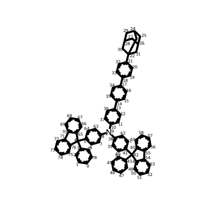 c1ccc(C2(c3ccc(N(c4ccc(-c5ccc(-c6ccc(C78CC9CC(CC(C9)C7)C8)cc6)cc5)cc4)c4ccc(C5(c6ccccc6)c6ccccc6-c6ccccc65)cc4)cc3)c3ccccc3-c3ccccc32)cc1